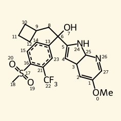 COC1=CC2C=C(C(O)(CC3CCC3)c3ccc(S(C)(=O)=O)c(C(F)(F)F)c3)NC2N=C1